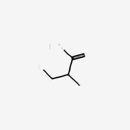 C[C](CF)C(N)=O